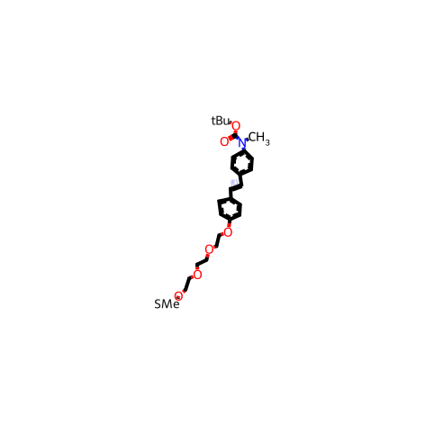 CSOCCOCCOCCOc1ccc(/C=C/c2ccc(N(C)C(=O)OC(C)(C)C)cc2)cc1